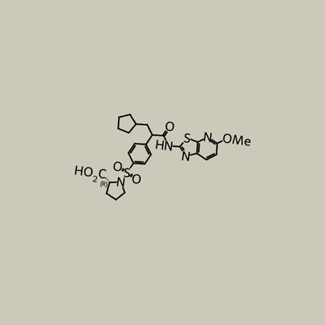 COc1ccc2nc(NC(=O)C(CC3CCCC3)c3ccc(S(=O)(=O)N4CCC[C@@H]4C(=O)O)cc3)sc2n1